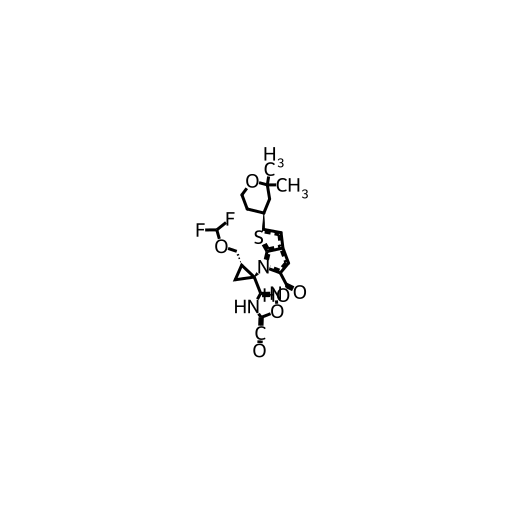 CC1(C)C[C@@H](c2cc3cc(C(=O)O)n([C@@]4(C5=NOC(=C=O)N5)C[C@@H]4COC(F)F)c3s2)CCO1